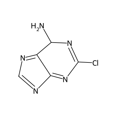 NC1N=C(Cl)N=C2N=CN=C21